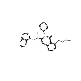 CCCCc1cccc2cc([C@H](C)Nc3ncnc4scnc34)n(-c3ccccc3)c(=O)c12